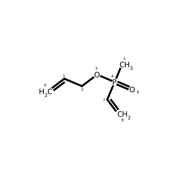 C=CCOP(C)(=O)C=C